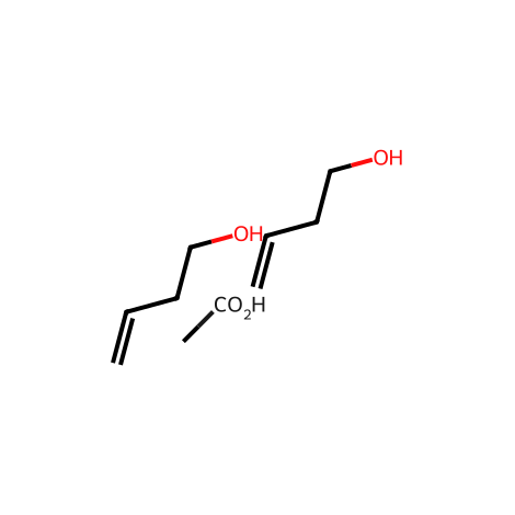 C=CCCO.C=CCCO.CC(=O)O